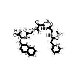 CC[C@H](C)C(NC(=O)[C@H](CC(C)C)NC(=O)Cc1ccccn1)C(=O)C(=O)NCC(=O)N[C@@H](Cc1ccc2ccccc2c1)C(N)=O